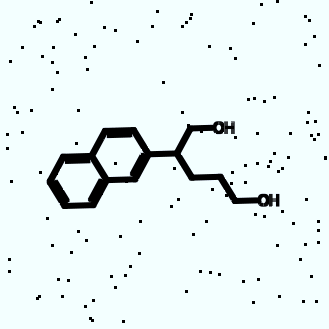 OCCCC(CO)c1ccc2ccccc2c1